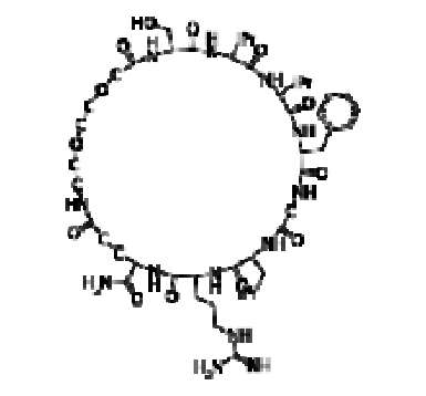 CC(C)CC1NC(=O)CNC(=O)C(Cc2ccccc2)NC(=O)C(C(C)C)NC(=O)C(C(C)C)NC(=O)C(CO)NC(=O)COCCOCCNC(=O)CCC(C(N)=O)NC(=O)C(CCCNC(=N)N)NC1=O